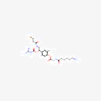 CC[C@H](C)[C@H](NC(=O)CCCCCN)C(=O)Oc1ccc(C(CNC(=O)CCS)OC(=O)NC(N)N)cc1OC